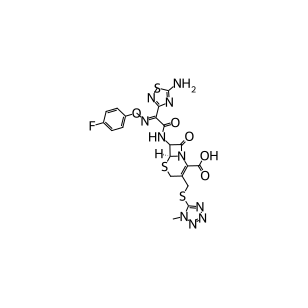 Cn1nnnc1SCC1=C(C(=O)O)N2C(=O)C(NC(=O)C(=NOc3ccc(F)cc3)c3nsc(N)n3)[C@@H]2SC1